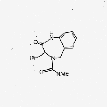 CNC(=O)N1Cc2ccccc2NC(=O)C1C(C)C